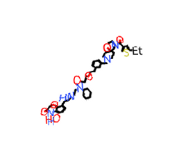 CCc1cc(C(=O)N2CCOC3(CCN(Cc4cccc(CCOCCC(=O)N(CCNCCc5ccc(O)c6c5OCC(=O)N6)C5CCCCC5)c4)CC3)C2)cs1